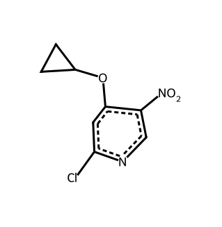 O=[N+]([O-])c1cnc(Cl)cc1OC1CC1